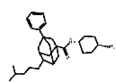 CC(C)CCCC1C2CC3(C(=O)N[C@H]4CC[C@H](N)CC4)CC1CC(c1ccccc1)(C2)C3